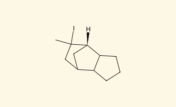 CC1(I)CC2C[C@H]1C1CCCC21